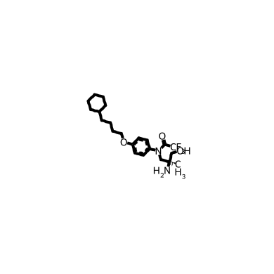 C[C@@](N)(CO)CN(C(=O)C(F)(F)F)c1ccc(OCCCCC2CCCCC2)cc1